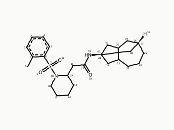 Cc1ccccc1S(=O)(=O)N1CCCCC1CC(=O)N[C@@]12CC3CCC[C@@H](CC3C1)C2